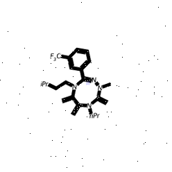 C=C1C(=C)N(CCC(C)C)/C(c2cccc(C(F)(F)F)c2)=N\N(C)C(=C)N1CCC